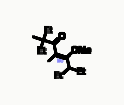 CCC(CC)/C(OC)=C(\C)C(=O)C(C)(CC)CC